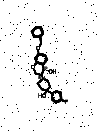 O[C@H]1c2ccc(OCc3ccccc3)cc2OC[C@H]1N1CCC(O)(c2ccc(F)cc2)CC1